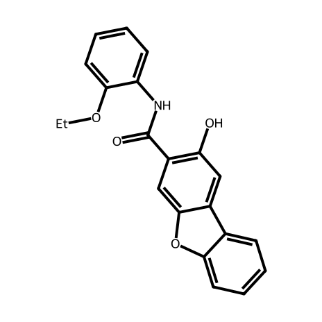 CCOc1ccccc1NC(=O)c1cc2oc3ccccc3c2cc1O